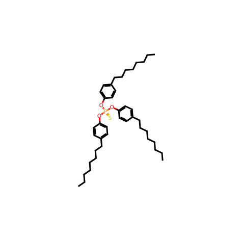 CCCCCCCCc1ccc(OP(=S)(Oc2ccc(CCCCCCCC)cc2)Oc2ccc(CCCCCCCC)cc2)cc1